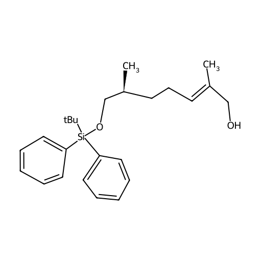 C/C(=C\CC[C@H](C)CO[Si](c1ccccc1)(c1ccccc1)C(C)(C)C)CO